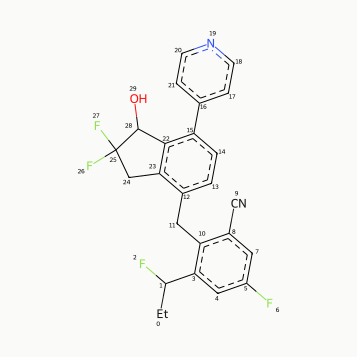 CCC(F)c1cc(F)cc(C#N)c1Cc1ccc(-c2ccncc2)c2c1CC(F)(F)C2O